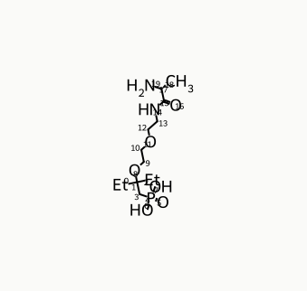 CCC(CC)(CP(=O)(O)O)OCCOCCNC(=O)[C@H](C)N